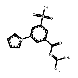 CS(=O)(=O)c1cc(C(=O)N=C(N)N)cc(-n2cccc2)c1